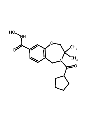 CC1(C)COc2cc(C(=O)NO)ccc2CN1C(=O)C1CCCC1